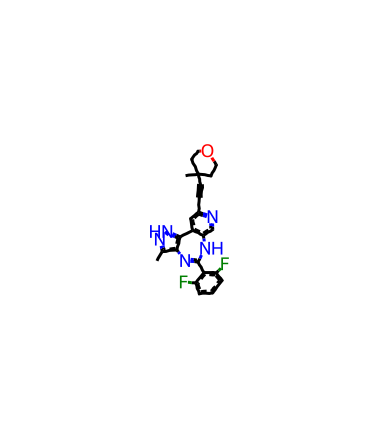 Cc1n[nH]c2c1N=C(c1c(F)cccc1F)Nc1cnc(C#CC3(C)CCOCC3)cc1-2